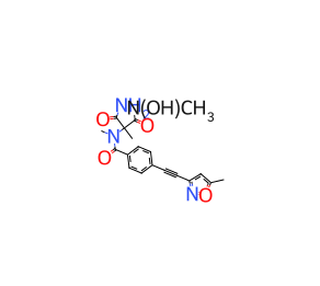 Cc1cc(C#Cc2ccc(C(=O)N(C)C(C)(C(N)=O)C(=O)N(C)O)cc2)no1